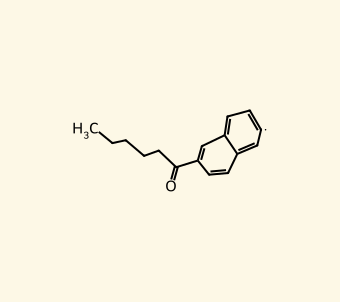 CCCCCC(=O)c1ccc2c[c]ccc2c1